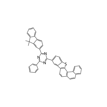 CC1(C)c2ccccc2-c2ccc(-c3nc(-c4ccccc4)nc(-c4ccc5sc6c(ccc7ccc8ccccc8c76)c5c4)n3)cc21